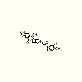 COc1ccc(OC)c(C(=O)N2CC3CN(CCC(=O)Nc4ccc(C)c(Cl)c4)CC3C2)c1